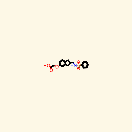 O=C(O)COc1ccc2c(c1)CC(CNS(=O)(=O)c1ccccc1)C2